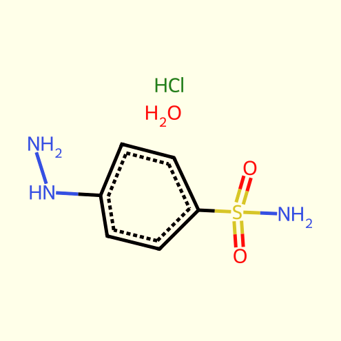 Cl.NNc1ccc(S(N)(=O)=O)cc1.O